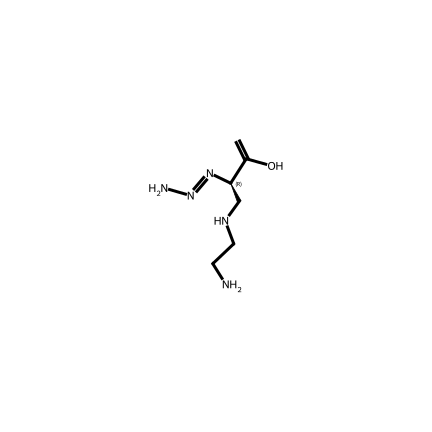 C=C(O)[C@@H](CNCCN)N=NN